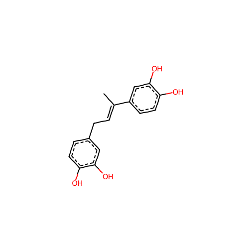 C/C(=C\Cc1ccc(O)c(O)c1)c1ccc(O)c(O)c1